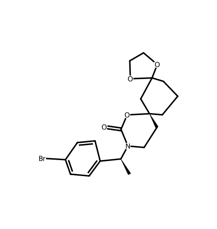 C[C@@H](c1ccc(Br)cc1)N1CC[C@@]2(CCCC3(C2)OCCO3)OC1=O